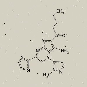 CCCC[S+]([O-])c1sc2nc(-c3nccs3)cc(-c3ccnn3C)c2c1N